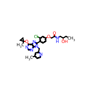 CC[C@@H](O)CNC(=O)COc1ccc(-c2nc3c(OC4(C)CC4)ncnc3n2Cc2cc(C)ccn2)c(Cl)c1